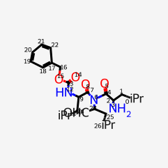 CC(C)CC(N)C(=O)N(C(=O)C(CC(C)C)NC(=O)OCc1ccccc1)C(C=O)CC(C)C